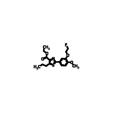 CCCc1sc(-c2ccc(OC)c(OCCF)c2)nc1C(=O)OCC